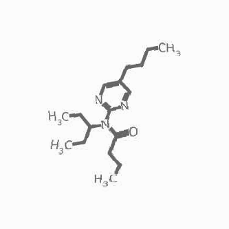 CCCCc1cnc(N(C(=O)CCC)C(CC)CC)nc1